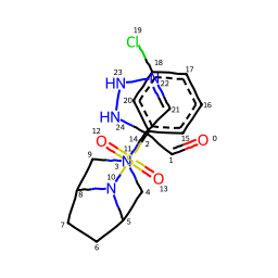 O=CC1(N2CC3CCC(C2)N3S(=O)(=O)c2cccc(Cl)c2)C=NNN1